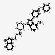 Nc1ncnc2c1c(-c1ccc(Oc3ccccc3)cc1)nn2[C@@H]1CCCN(C(=O)CCc2c[nH]c3ccccc23)C1